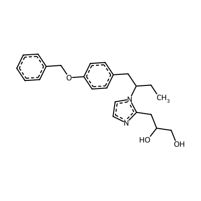 CCC(Cc1ccc(OCc2ccccc2)cc1)n1ccnc1CC(O)CO